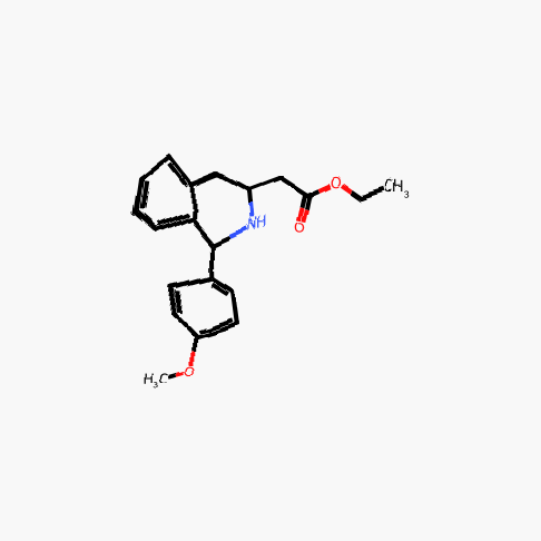 CCOC(=O)CC1Cc2ccccc2C(c2ccc(OC)cc2)N1